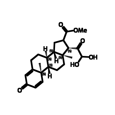 COC(=O)C1C[C@H]2[C@@H]3CCC4=CC(=O)C=C[C@]4(C)[C@H]3CC[C@]2(C)[C@H]1C(=O)C(O)O